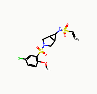 C=CS(=O)(=O)NC1C2CN(S(=O)(=O)c3cc(Cl)ccc3OC)CC21